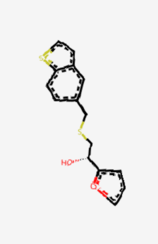 O[C@H](CSCc1ccc2sccc2c1)c1ccco1